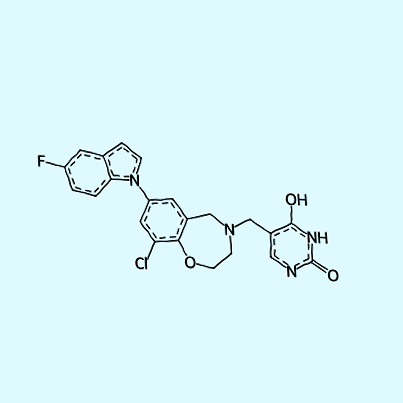 O=c1ncc(CN2CCOc3c(Cl)cc(-n4ccc5cc(F)ccc54)cc3C2)c(O)[nH]1